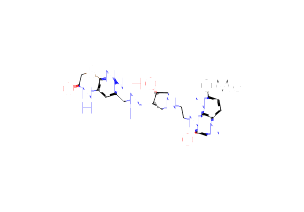 COc1ccc2ncc(=O)n(CCN3C[C@H](CNCc4cc5c(nn4)SCC(=O)N5)[C@H](O)C3)c2n1